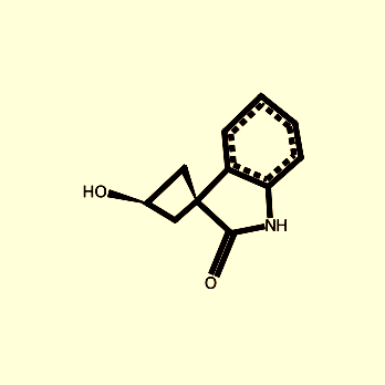 O=C1Nc2ccccc2[C@]12C[C@H](O)C2